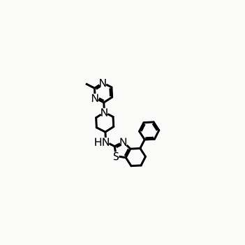 Cc1nccc(N2CCC(Nc3nc4c(s3)CCCC4c3ccccc3)CC2)n1